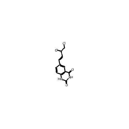 O=c1[nH]c(=O)c2cc(C=CC(Cl)CCl)ccc2[nH]1